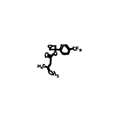 C=C(C)CC(=O)OC1(c2ccc(C(F)(F)F)cn2)COC1